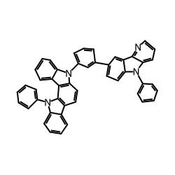 c1ccc(-n2c3ccc(-c4cccc(-n5c6ccccc6c6c5ccc5c7ccccc7n(-c7ccccc7)c56)c4)cc3c3ncccc32)cc1